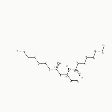 CCCCCCCC(=O)CC(CC)OC(=O)CCCCCCC